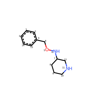 c1ccc(CONC2CCCNC2)cc1